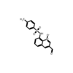 Cc1ccc(S(=O)(=O)Nc2cccc3cc(C=O)c[n+]([O-])c23)cc1